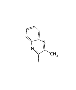 Cc1nc2ccccc2nc1I